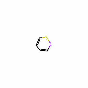 C1=CS[I]C=C1